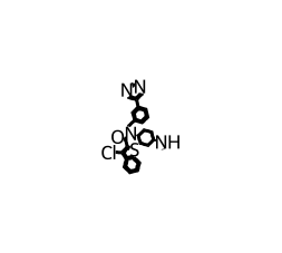 CN[C@H]1CC[C@H](N(Cc2cccc(-c3cncnc3)c2)C(=O)c2sc3ccccc3c2Cl)CC1